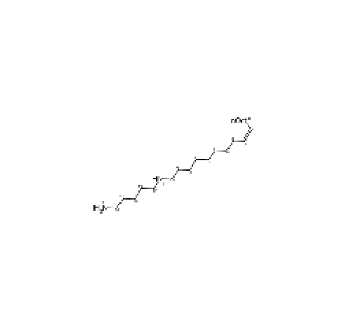 CCCCCCCC/C=C\CCCCCCCCNCCCCCN